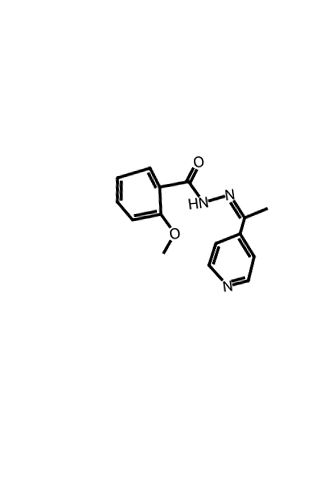 COc1ccccc1C(=O)NN=C(C)c1ccncc1